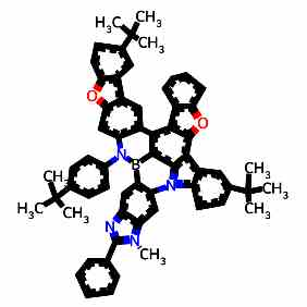 Cn1c(-c2ccccc2)nc2cc3c(cc21)-n1c2ccc(C(C)(C)C)cc2c2c4oc5ccccc5c4c4c(c21)B3N(c1ccc(C(C)(C)C)cc1)c1cc2oc3ccc(C(C)(C)C)cc3c2cc1-4